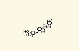 Cc1ccc(NC(=O)Nc2cccc(CN3CCN(C(=O)O)C(C)(C)C3)c2F)cn1